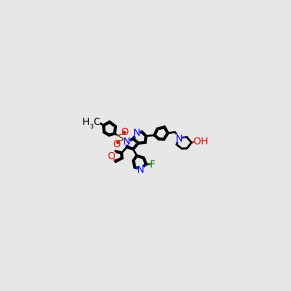 Cc1ccc(S(=O)(=O)n2c(-c3ccoc3)c(-c3ccnc(F)c3)c3cc(-c4ccc(CN5CCCC(O)C5)cc4)cnc32)cc1